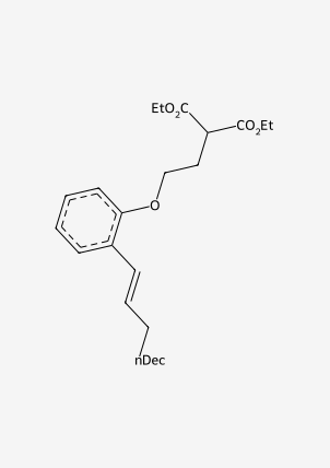 CCCCCCCCCCCC=Cc1ccccc1OCCC(C(=O)OCC)C(=O)OCC